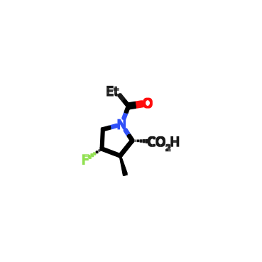 CCC(=O)N1C[C@@H](F)[C@H](C)[C@H]1C(=O)O